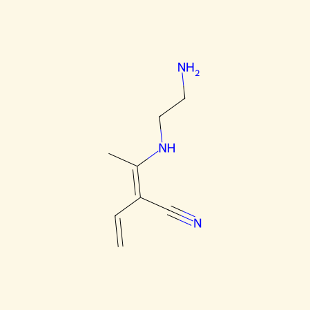 C=C/C(C#N)=C(\C)NCCN